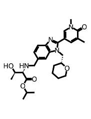 Cc1cc(-c2nc3ccc(CN[C@H](C(=O)OC(C)C)[C@@H](C)O)cc3n2C[C@H]2CCCCO2)cn(C)c1=O